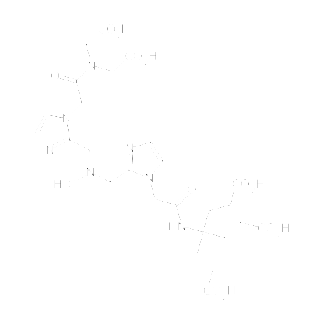 CN(Cc1nccn1CC(=O)NC(CCC(=O)O)(CCC(=O)O)CCC(=O)O)Cc1nccn1CC(=O)N(CC(=O)O)CC(=O)O